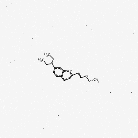 CCO/C=C/c1ccc2ccc(N(CC)CC)cc2[o+]1